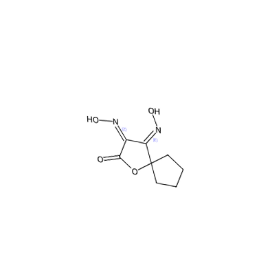 O=C1OC2(CCCC2)C(=N/O)/C1=N/O